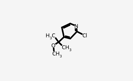 COC(C)(C)c1ccnc(Cl)c1